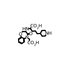 O=C(O)CN1C(=O)[C@@H](NC(CCCC2CCNCC2)C(=O)O)COc2ccccc21